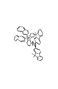 CC1(C)c2ccccc2-c2ccc(N(c3ccc4c(c3)C(C)(C)c3ccccc3-4)c3cccc4c3-c3ccccc3[Si]4(c3ccc4ccccc4c3)c3ccc4ccccc4c3)cc21